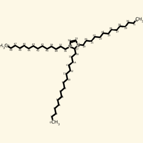 CCCCCCCCCCCCCCCCCC1N(CCCCCCCCCCCCCC)C=CN1CCCCCCCCCCCCCC